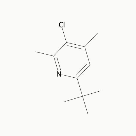 Cc1cc(C(C)(C)C)nc(C)c1Cl